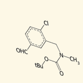 CN(Cc1cc(C=O)ccc1Cl)C(=O)OC(C)(C)C